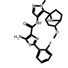 COC1CCC2(c3c(NC(=O)c4nc(-c5ccccc5F)sc4N)cnn3C)CCC1N2